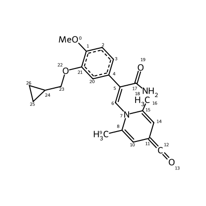 COc1ccc(C(=CN2C(C)=CC(=C=O)C=C2C)C(N)=O)cc1OCC1CC1